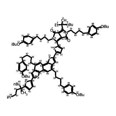 CCCCC(C)(CC)C1=C2C(=O)N(CCCCc3ccc(OCC(C)C)cc3)C(c3ccc(-c4cc5c(CCCCc6ccc(OCC(C)C)cc6)cc6c(cc(CCCCc7ccc(OCC(C)C)cc7)c7cc(-c8ccc(C(C)(CCCC)CCC(C)C)s8)sc76)c5s4)s3)=C2C(=O)N1CCCCc1ccc(OCC(C)C)cc1